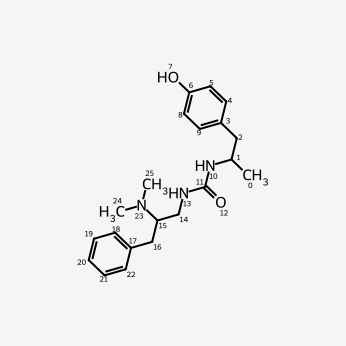 CC(Cc1ccc(O)cc1)NC(=O)NCC(Cc1ccccc1)N(C)C